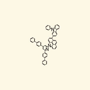 c1ccc(-c2ccc(-c3cc(-c4ccc(-c5ccccc5)cc4)nc(-n4c5cccc6ccc7c(-c8ccc9c%10ccccc%10n(-c%10ccccc%10)c9c8)ccc4c7c65)c3)cc2)cc1